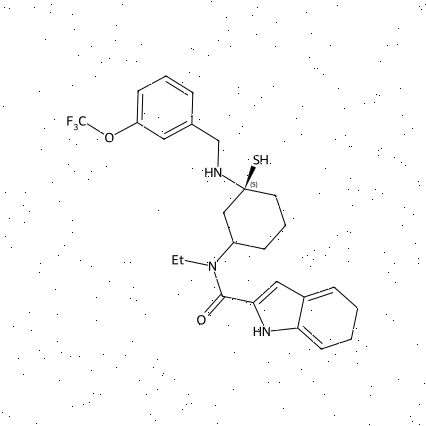 CCN(C(=O)c1cc2c([nH]1)=CCCC=2)C1CCC[C@@](S)(NCc2cccc(OC(F)(F)F)c2)C1